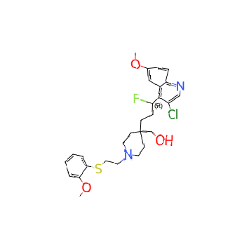 COc1ccc2ncc(Cl)c([C@H](F)CCC3(CO)CCN(CCSc4ccccc4OC)CC3)c2c1